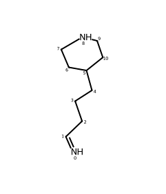 N=CCCCC1CCNCC1